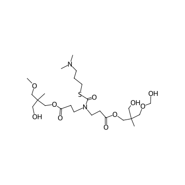 COCC(C)(CO)COC(=O)CCN(CCC(=O)OCC(C)(CO)COCO)C(=O)SCCCN(C)C